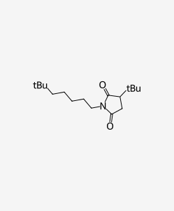 CC(C)(C)CCCCCN1C(=O)CC(C(C)(C)C)C1=O